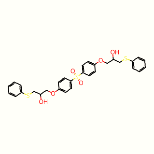 O=S(=O)(c1ccc(OCC(O)CSc2ccccc2)cc1)c1ccc(OCC(O)CSc2ccccc2)cc1